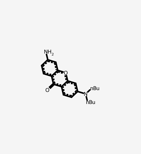 CCCCN(CCCC)c1ccc2c(=O)c3ccc(N)cc3oc2c1